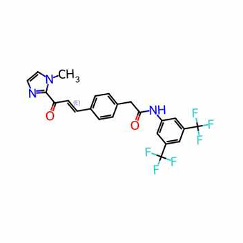 Cn1ccnc1C(=O)/C=C/c1ccc(CC(=O)Nc2cc(C(F)(F)F)cc(C(F)(F)F)c2)cc1